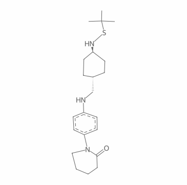 CC(C)(C)SN[C@H]1CC[C@H](CNc2ccc(N3CCCCC3=O)cc2)CC1